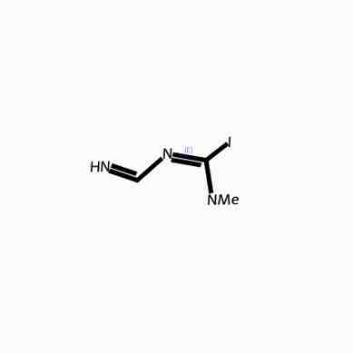 CN/C(I)=N\C=N